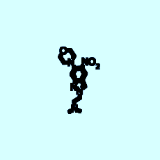 CN(C)CCn1cc2cc([N+](=O)[O-])c(N3CCOCC3)cc2n1